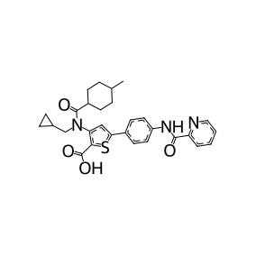 CC1CCC(C(=O)N(CC2CC2)c2cc(-c3ccc(NC(=O)c4ccccn4)cc3)sc2C(=O)O)CC1